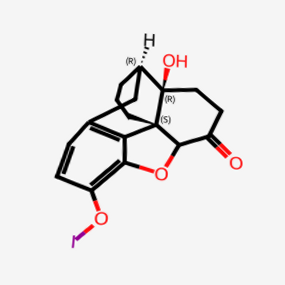 O=C1CC[C@@]2(O)[C@@H]3CCC[C@@]24c2c(ccc(OI)c2OC14)C3